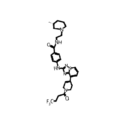 C[C@@H]1CCCN(CCNC(=O)c2ccc(Nc3nc4c(C5=CCN(C(=O)CCC(F)(F)F)CC5)cccn4n3)cc2)C1